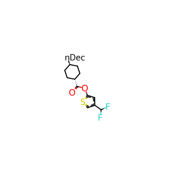 CCCCCCCCCC[C@H]1CC[C@H](C(=O)Oc2cc(C(F)F)cs2)CC1